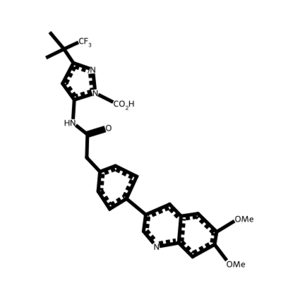 COc1cc2cc(-c3ccc(CC(=O)Nc4cc(C(C)(C)C(F)(F)F)nn4C(=O)O)cc3)cnc2cc1OC